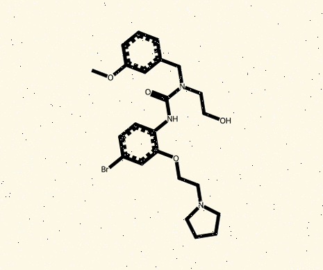 COc1cccc(CN(CCO)C(=O)Nc2ccc(Br)cc2OCCN2CCCC2)c1